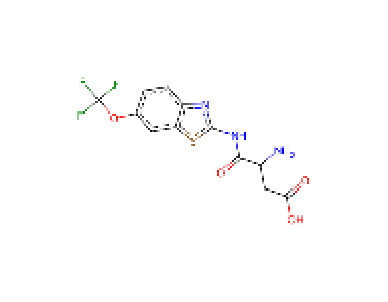 NC(CC(=O)O)C(=O)Nc1nc2ccc(OC(F)(F)F)cc2s1